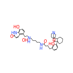 O=C(CCCc1cccc(C2(C(=O)O)CCCCC2C2CN3CCC2CC3)c1)NCCCCCNC[C@H](O)c1ccc(O)c2[nH]c(=O)ccc12